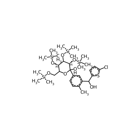 Cc1ccc(C2(O)OC(CO[Si](C)(C)C)[C@@H](O[Si](C)(C)C)C(O[Si](C)(C)C)[C@H]2O[Si](C)(C)C)cc1C(O)c1ccc(Cl)s1